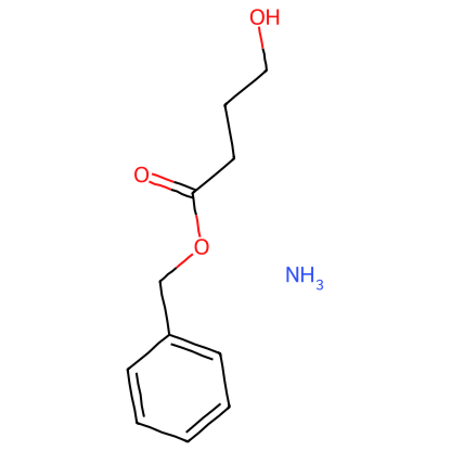 N.O=C(CCCO)OCc1ccccc1